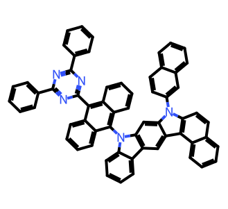 c1ccc(-c2nc(-c3ccccc3)nc(-c3c4ccccc4c(-n4c5ccccc5c5cc6c7c8ccccc8ccc7n(-c7ccc8ccccc8c7)c6cc54)c4ccccc34)n2)cc1